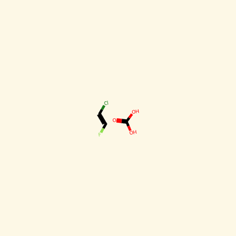 FC=CCl.O=C(O)O